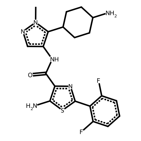 Cn1ncc(NC(=O)c2nc(-c3c(F)cccc3F)sc2N)c1C1CCC(N)CC1